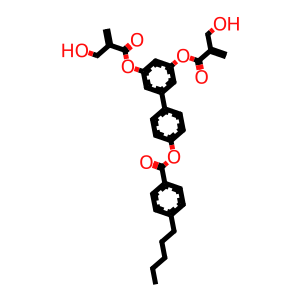 C=C(CO)C(=O)Oc1cc(OC(=O)C(=C)CO)cc(-c2ccc(OC(=O)c3ccc(CCCCC)cc3)cc2)c1